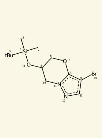 CC(C)(C)[Si](C)(C)OC1COc2c(Br)cnn2C1